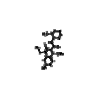 COc1c(C(=O)Nc2ncccc2C)c(=O)n(CC(C)C)c2cc(Br)ccc12